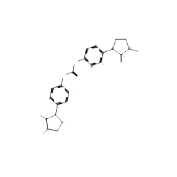 O=C(Oc1ccc(C2CCC(F)C2F)cc1)Oc1ccc(C2CCC(F)C2F)cc1